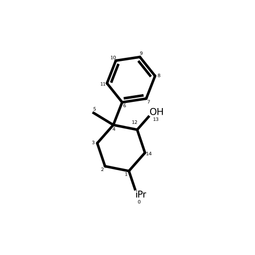 CC(C)C1CCC(C)(c2ccccc2)C(O)C1